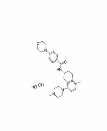 Cc1ccc(N2CCN(C)CC2)c2c1CC[C@@H](NC(=O)c1ccc(N3CCOCC3)cc1)C2.Cl.Cl